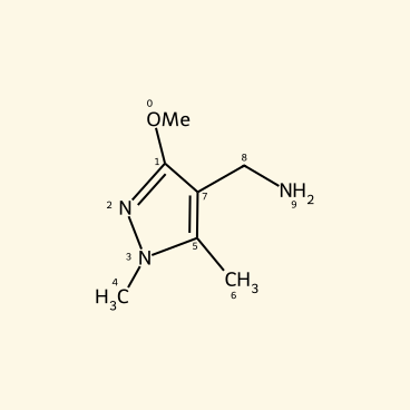 COc1nn(C)c(C)c1CN